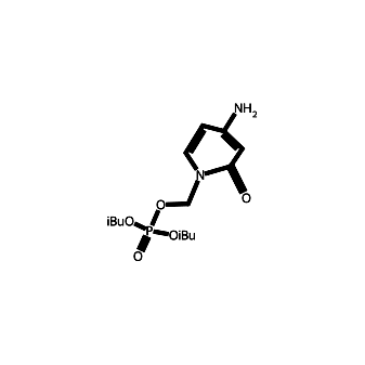 CC(C)COP(=O)(OCC(C)C)OCn1ccc(N)cc1=O